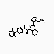 Cc1ccnc(C)c1-c1ccc(NC(=O)[C@@H](NC(=O)c2conc2CN)C2CCCCC2)cc1